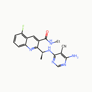 CCNC(=O)c1cc2c(F)cccc2nc1[C@H](C)Nc1ncnc(N)c1C#N